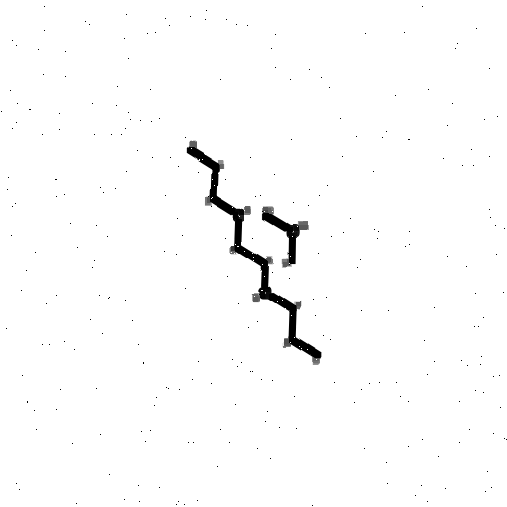 CCCOCCOCCC.COC